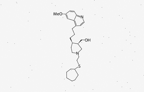 COc1ccc2nccc(CCC[C@@H]3CCN(CCSC4CCCCCC4)C[C@@H]3CO)c2c1